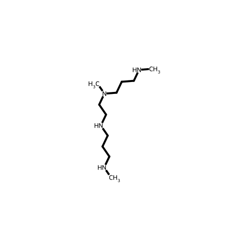 CNCCCNCCN(C)CCCNC